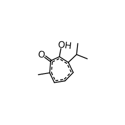 Cc1cccc(C(C)C)c(O)c1=O